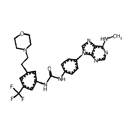 CNc1ncnc2c1ncn2-c1ccc(NC(=O)Nc2cc(CCN3CCOCC3)cc(C(F)(F)F)c2)cc1